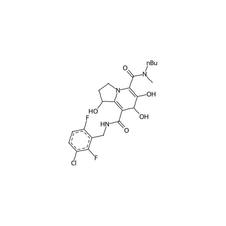 CCCCN(C)C(=O)C1=C(O)C(O)C(C(=O)NCc2c(F)ccc(Cl)c2F)=C2C(O)CCN12